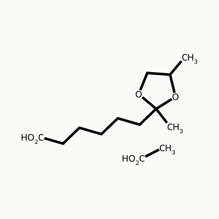 CC(=O)O.CC1COC(C)(CCCCCC(=O)O)O1